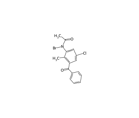 CC(=O)N(Br)c1cc(Cl)cc(C(=O)c2ccccc2)c1C